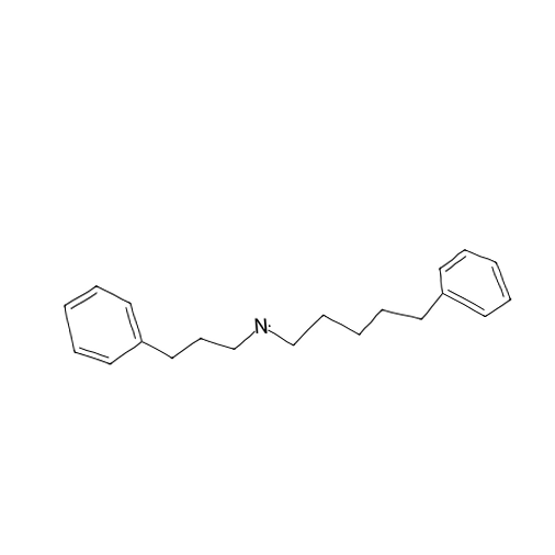 c1ccc(CCCCC[N]CCCc2ccccc2)cc1